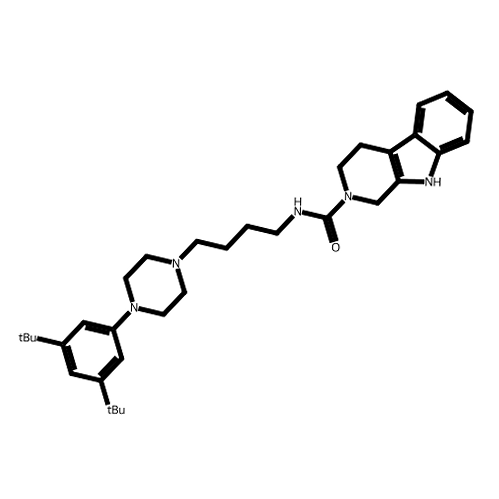 CC(C)(C)c1cc(N2CCN(CCCCNC(=O)N3CCc4c([nH]c5ccccc45)C3)CC2)cc(C(C)(C)C)c1